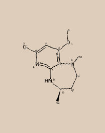 COc1cc(Cl)nc2c1N(C)CC[C@@H](C)N2